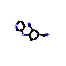 N#Cc1ccc(Nc2cccnc2)c(C#N)c1